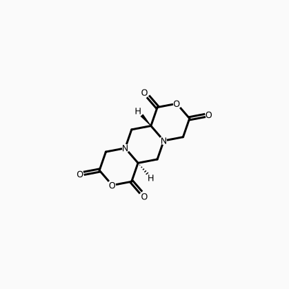 O=C1CN2C[C@H]3C(=O)OC(=O)CN3C[C@@H]2C(=O)O1